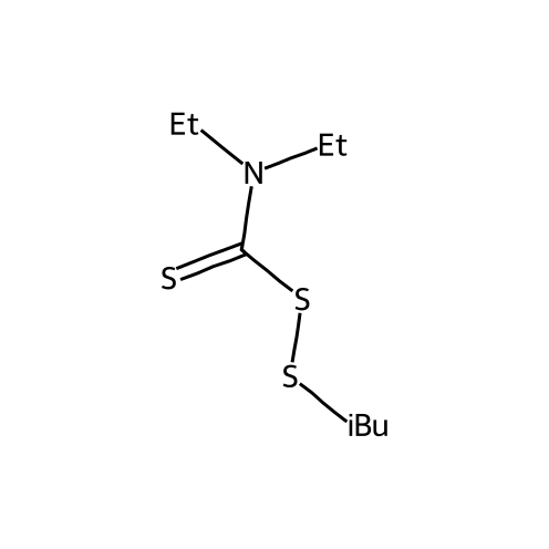 CCC(C)SSC(=S)N(CC)CC